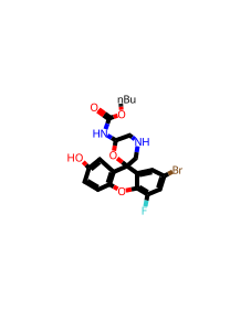 CCCCOC(=O)NC1CNCC2(O1)c1cc(O)ccc1Oc1c(F)cc(Br)cc12